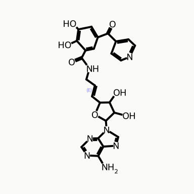 Nc1ncnc2c1ncn2C1OC(/C=C/CNC(=O)c2cc(C(=O)c3ccncc3)cc(O)c2O)C(O)C1O